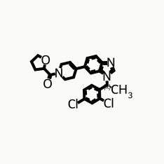 C[C@H](c1ccc(Cl)cc1Cl)n1cnc2ccc(C3=CCN(C(=O)C4CCCO4)CC3)cc21